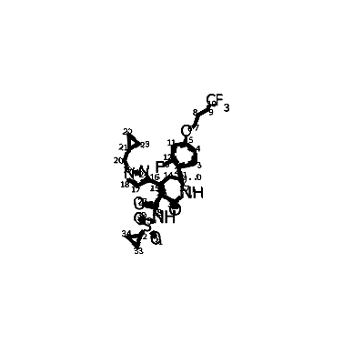 C[C@@]1(c2ccc(OCCCC(F)(F)F)cc2F)CC(c2ccn(CC3CC3)n2)=C(C(=O)NS(=O)(=O)C2CC2)C(=O)N1